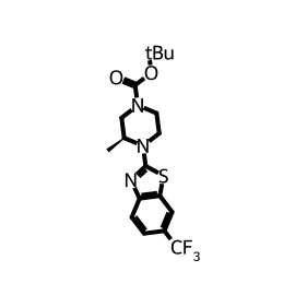 C[C@H]1CN(C(=O)OC(C)(C)C)CCN1c1nc2ccc(C(F)(F)F)cc2s1